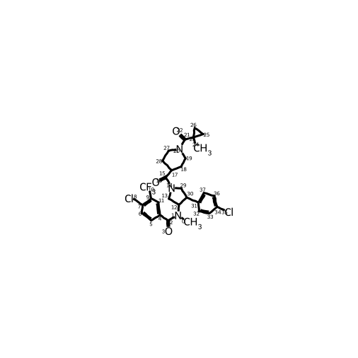 CN(C(=O)c1ccc(Cl)c(C(F)(F)F)c1)C1CN(C(=O)C2CCN(C(=O)C3(C)CC3)CC2)CC1c1ccc(Cl)cc1